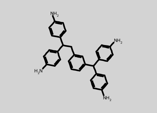 Nc1ccc(C(Cc2cccc(C(c3ccc(N)cc3)c3ccc(N)cc3)c2)c2ccc(N)cc2)cc1